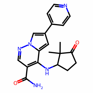 CC1(C)C(=O)CCC1Nc1c(C(N)=O)cnn2cc(-c3ccncc3)cc12